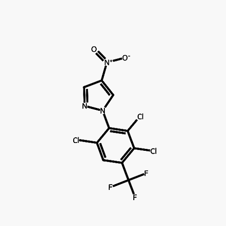 O=[N+]([O-])c1cnn(-c2c(Cl)cc(C(F)(F)F)c(Cl)c2Cl)c1